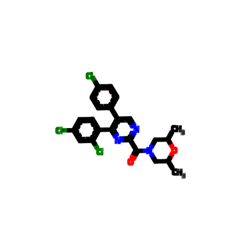 CC1CN(C(=O)c2ncc(-c3ccc(Cl)cc3)c(-c3ccc(Cl)cc3Cl)n2)CC(C)O1